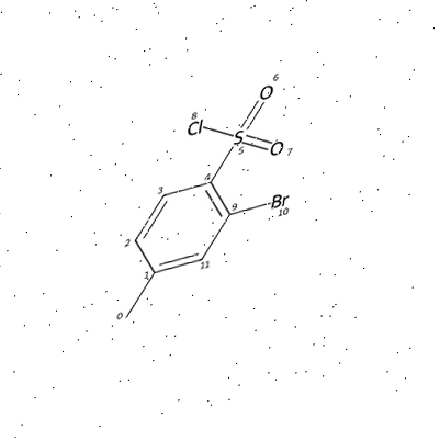 Cc1ccc(S(=O)(=O)Cl)c(Br)c1